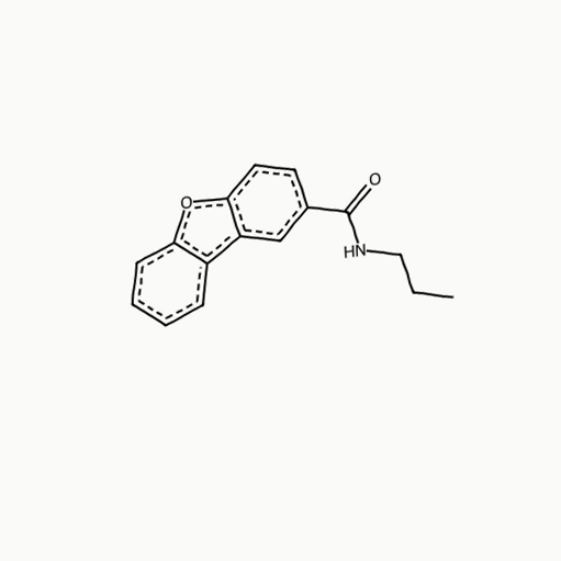 CCCNC(=O)c1ccc2oc3ccccc3c2c1